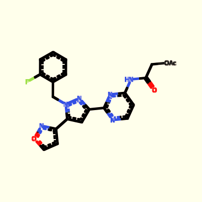 CC(=O)OCC(=O)Nc1ccnc(-c2cc(-c3ccon3)n(Cc3ccccc3F)n2)n1